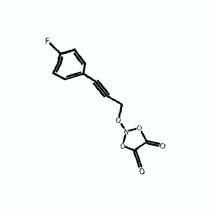 O=c1on(OCC#Cc2ccc(F)cc2)oc1=O